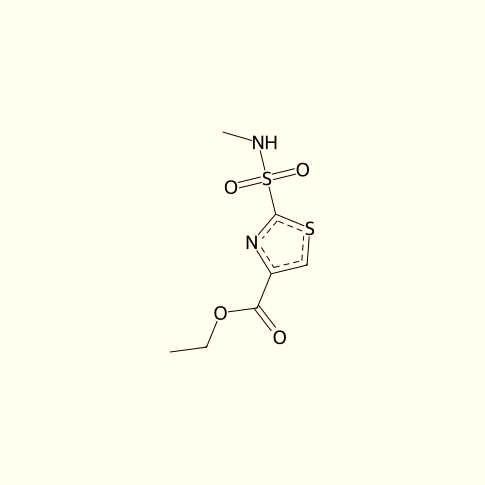 CCOC(=O)c1csc(S(=O)(=O)NC)n1